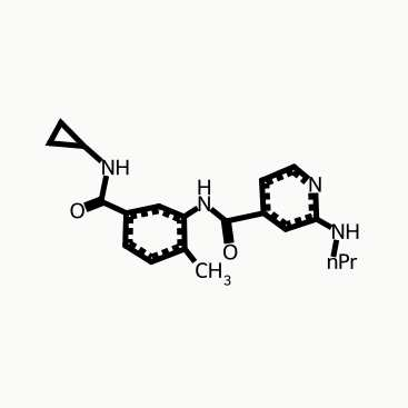 CCCNc1cc(C(=O)Nc2cc(C(=O)NC3CC3)ccc2C)ccn1